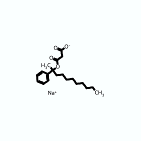 CCCCCCCCCC(C)(OC(=O)CC(=O)[O-])c1ccccc1.[Na+]